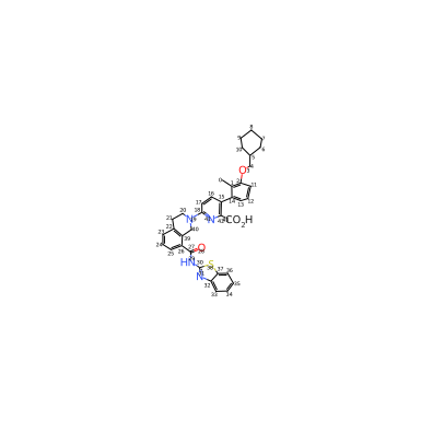 Cc1c(OCC2CCCCC2)cccc1-c1ccc(N2CCc3cccc(C(=O)Nc4nc5ccccc5s4)c3C2)nc1C(=O)O